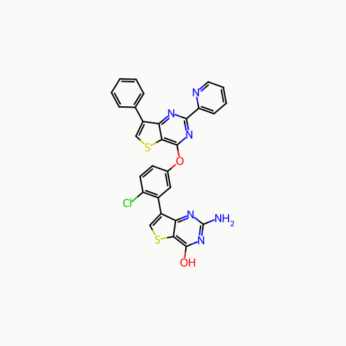 Nc1nc(O)c2scc(-c3cc(Oc4nc(-c5ccccn5)nc5c(-c6ccccc6)csc45)ccc3Cl)c2n1